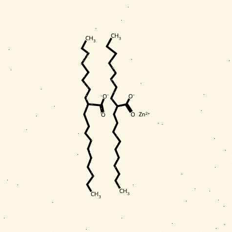 CCCCCCCCCCC(CCCCCCCC)C(=O)[O-].CCCCCCCCCCC(CCCCCCCC)C(=O)[O-].[Zn+2]